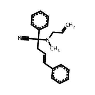 C=CCN(C)C(C#N)(CC=Cc1ccccc1)c1ccccc1